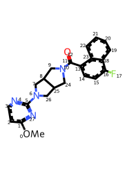 COc1ccnc(N2CC3CN(C(=O)c4ccc(F)c5ccccc45)CC3C2)n1